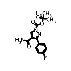 CC(C)(C)OC(=O)n1cc(C(N)=O)c(-c2ccc(F)cc2)n1